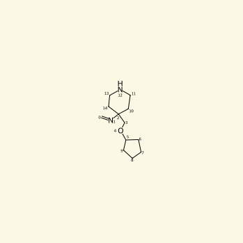 C=NC1(COC2CCCC2)CCNCC1